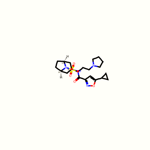 O=C(N[C@H]1C[C@H]2CC[C@@H](C1)N2S(=O)(=O)CCCN1CCCC1)c1cc(C2CC2)on1